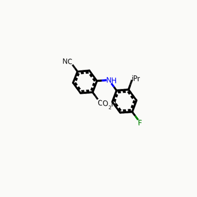 CC(C)c1cc(F)ccc1Nc1cc(C#N)ccc1C(=O)O